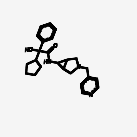 O=C(NC1C2CN(Cc3ccncc3)CC21)C(O)(c1ccccc1)C1CCCC1